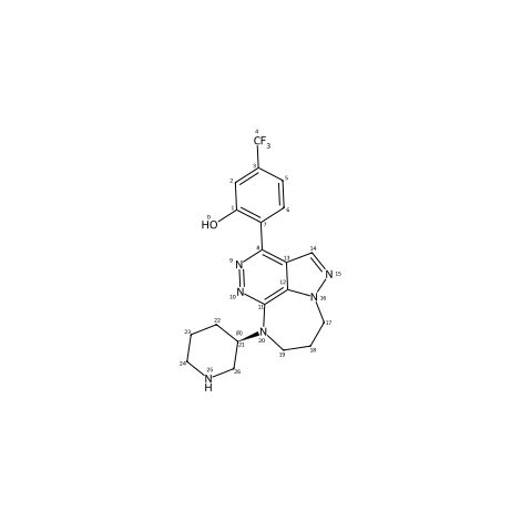 Oc1cc(C(F)(F)F)ccc1-c1nnc2c3c1cnn3CCCN2[C@@H]1CCCNC1